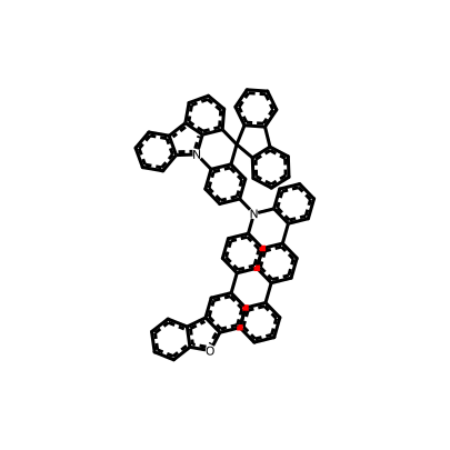 c1ccc(-c2ccc(-c3ccccc3N(c3ccc(-c4ccc5oc6ccccc6c5c4)cc3)c3ccc4c(c3)C3(c5ccccc5-c5ccccc53)c3cccc5c6ccccc6n-4c35)cc2)cc1